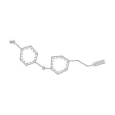 C#CCCc1ccc(Oc2ccc(O)cc2)cc1